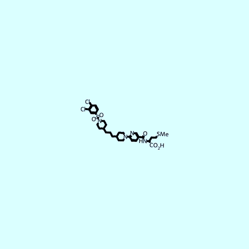 CSCCC(NC(=O)c1ccc(N2CCC(CCCC3CCN(S(=O)(=O)c4ccc(Cl)c(Cl)c4)CC3)CC2)nc1)C(=O)O